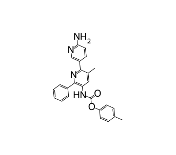 Cc1ccc(OC(=O)Nc2cc(C)c(-c3ccc(N)nc3)nc2-c2ccccc2)cc1